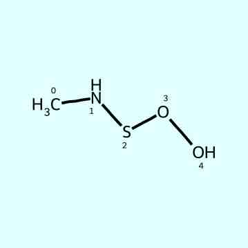 CNSOO